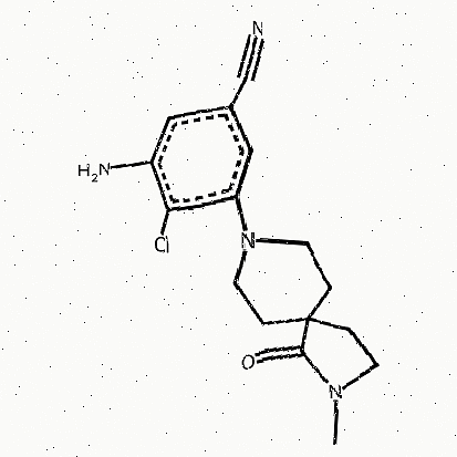 CN1CCC2(CCN(c3cc(C#N)cc(N)c3Cl)CC2)C1=O